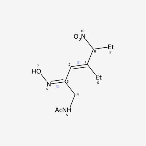 CC/C(=C\C(CNC(C)=O)=N/O)C(CC)[N+](=O)[O-]